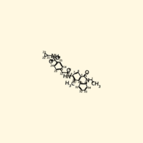 CCN(C(=O)c1ccc(NC(=O)Cc2ccc(S(=O)(=O)NC3CC3)cc2)c(C)c1)c1ccccc1